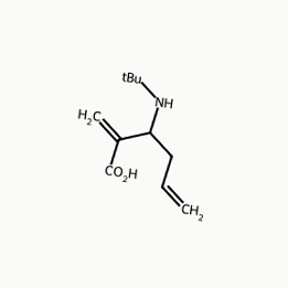 C=CCC(NC(C)(C)C)C(=C)C(=O)O